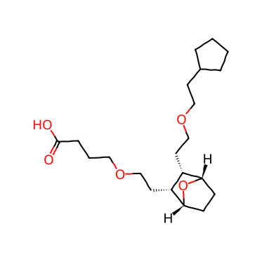 O=C(O)CCCOCC[C@@H]1[C@H](CCOCCC2CCCC2)[C@@H]2CC[C@H]1O2